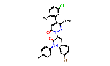 COc1nn(C(Cc2ccc(Br)cc2)C(=O)Nc2ccc(C)cc2)c(=O)cc1-c1cc(Cl)ccc1C(C)=O